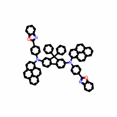 c1ccc(C2(c3ccccc3)c3cc(N(c4ccc(-c5nc6ccccc6o5)cc4)c4ccc5ccc6cccc7ccc4c5c67)ccc3-c3ccc(N(c4ccc(-c5nc6ccccc6o5)cc4)c4ccc5ccc6cccc7ccc4c5c67)cc32)cc1